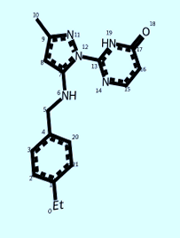 CCc1ccc(CNc2cc(C)nn2-c2nccc(=O)[nH]2)cc1